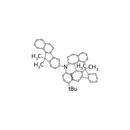 CC(C)(C)c1ccc(N(c2ccc3c(c2)-c2ccc4ccccc4c2C3(C)C)c2ccc3ccccc3c2-c2cccc3c2C(C)(C)c2ccccc2-3)cc1